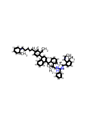 C=CC1C(C)=C(CCCC/C=C2/C=CC=CC2C)C=CC1c1ccc(C(=C)C2C=CC=CC2C(=C)CN/C(=N\C(C)c2cccc(C)c2/C=C\C)c2ccccc2)c2ccccc12